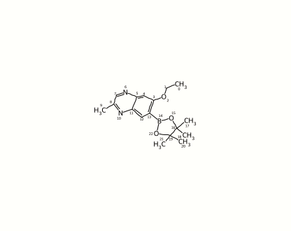 CCOc1cc2ncc(C)nc2cc1B1OC(C)(C)C(C)(C)O1